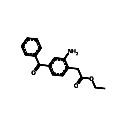 CCOC(=O)Cc1ccc(C(=O)c2ccccc2)cc1N